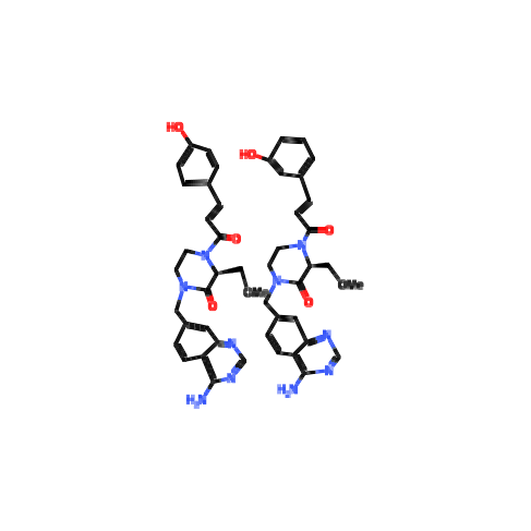 COC[C@H]1C(=O)N(Cc2ccc3c(N)ncnc3c2)CCN1C(=O)C=Cc1ccc(O)cc1.COC[C@H]1C(=O)N(Cc2ccc3c(N)ncnc3c2)CCN1C(=O)C=Cc1cccc(O)c1